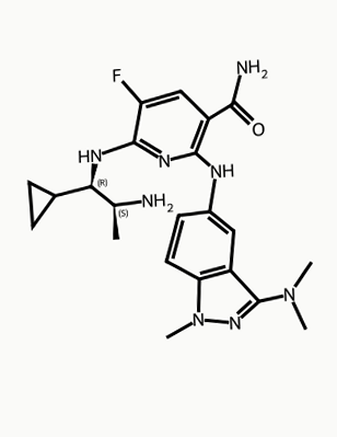 C[C@H](N)[C@H](Nc1nc(Nc2ccc3c(c2)c(N(C)C)nn3C)c(C(N)=O)cc1F)C1CC1